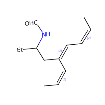 C\C=C/C=C(\C=C/C)CC(CC)NC=O